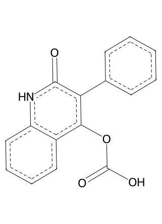 O=C(O)Oc1c(-c2ccccc2)c(=O)[nH]c2ccccc12